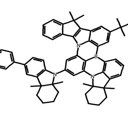 CC(C)(C)c1cc2c3c(c1)c1c(n3-c3cc(N4c5ccc(-c6ccccc6)cc5C5(C)CCCCC45C)cc4c3B2c2cccc3c2N4C2(C)CCCCC32C)-c2ccccc2C1(C)C